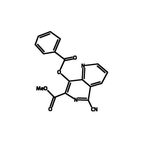 COC(=O)c1nc(C#N)c2cccnc2c1OC(=O)c1ccccc1